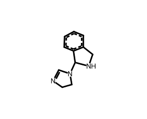 C1=NCCN1C1NCc2ccccc21